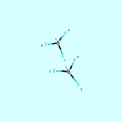 FB(F)F.FB(F)F